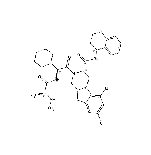 CN[C@@H](C)C(=O)N[C@H](C(=O)N1CC2Cc3cc(Cl)cc(Cl)c3N2C[C@H]1C(=O)N[C@@H]1CCOc2ccccc21)C1CCCCC1